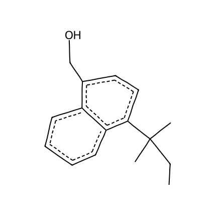 CCC(C)(C)c1ccc(CO)c2ccccc12